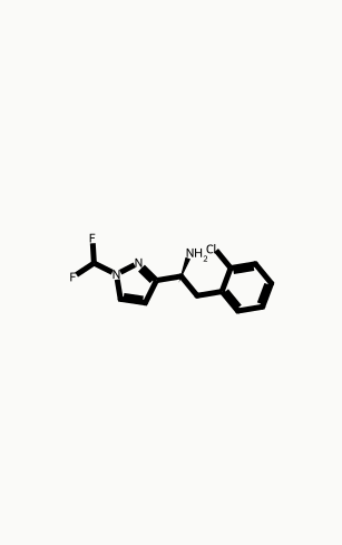 N[C@@H](Cc1ccccc1Cl)c1ccn(C(F)F)n1